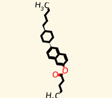 CCCCC[C@H]1CC[C@H](c2ccc3cc(OC(=O)CCCC)ccc3c2)CC1